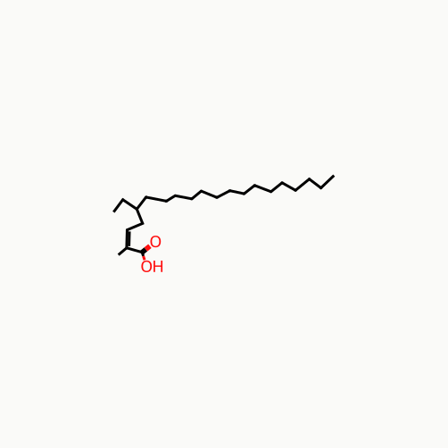 CCCCCCCCCCCCCCCC(CC)CC=C(C)C(=O)O